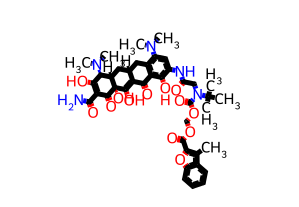 Cc1c(C(=O)OCOC(=O)N(CC(=O)Nc2cc(N(C)C)c3c(c2O)C(=O)C2=C(O)[C@]4(O)C(=O)C(C(N)=O)=C(O)[C@@H](N(C)C)[C@@H]4C[C@@H]2C3)C(C)(C)C)oc2ccccc12